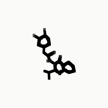 CC(C)c1nc2ccccc2c(=O)n1NC(=O)Cc1ccc(F)c(F)c1